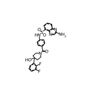 Nc1cnc2c(S(=O)(=O)Nc3ccc(C(=O)N4CCC(O)(c5cccc(F)c5F)CC4)cc3)cccc2n1